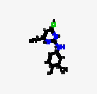 CCCc1cc(Cl)nc(Nc2ccc(C)c(C#N)c2)n1